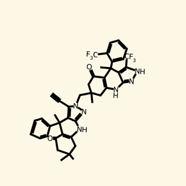 C#Cc1c2c(nn1CC1(C)CC(=O)C3=C(C1)Nc1n[nH]c(C(F)(F)F)c1C3(C)c1ccccc1C(F)(F)F)NC1=C(C(=O)CC(C)(C)C1)C2(C)c1ccccc1